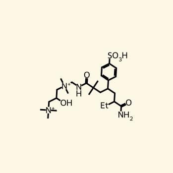 CCC(CC(CC(C)(C)C(=O)NC[N+](C)(C)CC(O)C[N+](C)(C)C)c1ccc(S(=O)(=O)O)cc1)C(N)=O